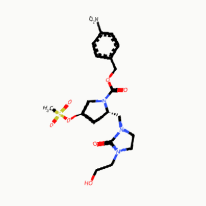 CS(=O)(=O)O[C@@H]1C[C@@H](CN2CCN(CCO)C2=O)N(C(=O)OCc2ccc([N+](=O)[O-])cc2)C1